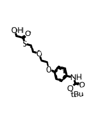 CC(C)(C)OC(=O)Nc1ccc(OCCOCCSC(=O)CO)cc1